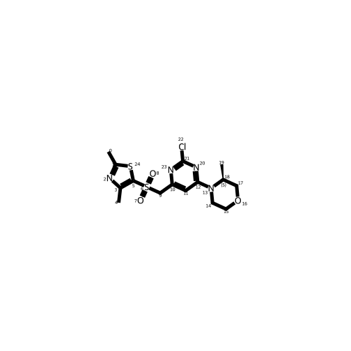 Cc1nc(C)c(S(=O)(=O)Cc2cc(N3CCOC[C@@H]3C)nc(Cl)n2)s1